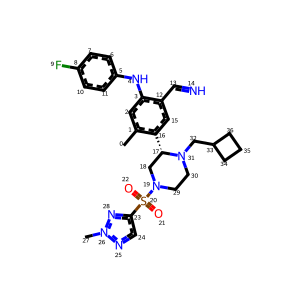 Cc1cc(Nc2ccc(F)cc2)c(C=N)cc1[C@H]1CN(S(=O)(=O)c2cnn(C)n2)CCN1CC1CCC1